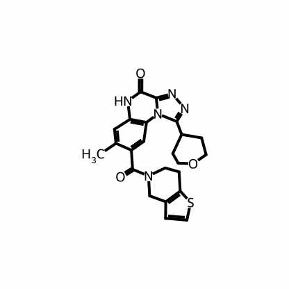 Cc1cc2[nH]c(=O)c3nnc(C4CCOCC4)n3c2cc1C(=O)N1CCc2sccc2C1